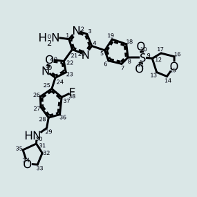 Nc1ncc(-c2ccc(S(=O)(=O)C3CCOCC3)cc2)nc1-c1cc(-c2ccc(CNC3CCOC3)cc2F)no1